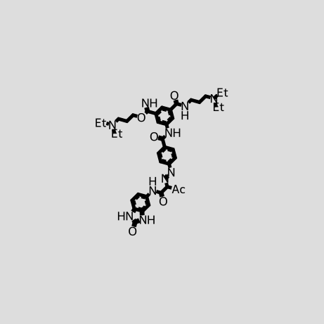 CCN(CC)CCCNC(=O)c1cc(NC(=O)c2ccc(N=NC(C(C)=O)C(=O)Nc3ccc4[nH]c(=O)[nH]c4c3)cc2)cc(C(=N)OCCCN(CC)CC)c1